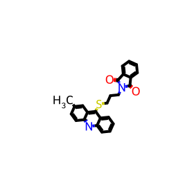 Cc1ccc2nc3ccccc3c(SCCCN3C(=O)c4ccccc4C3=O)c2c1